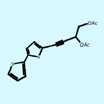 CC(=O)OCC(C#Cc1ccc(-c2cccs2)s1)OC(C)=O